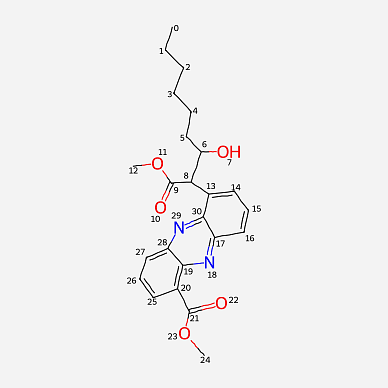 CCCCCCC(O)C(C(=O)OC)c1cccc2nc3c(C(=O)OC)cccc3nc12